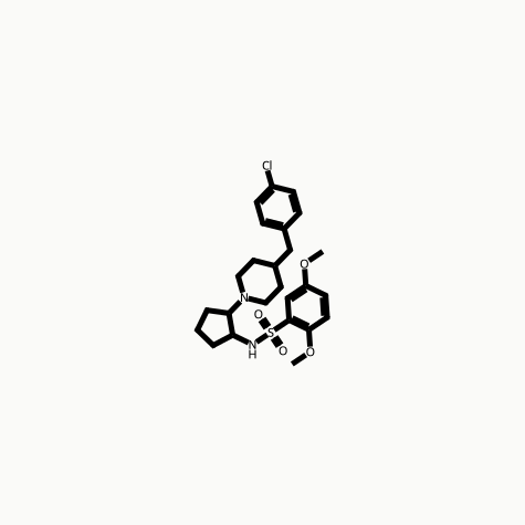 COc1ccc(OC)c(S(=O)(=O)NC2CCCC2N2CCC(Cc3ccc(Cl)cc3)CC2)c1